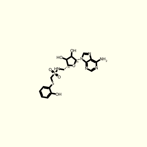 Nc1ncnc2c1ncn2[C@@H]1O[C@H](CNS(=O)(=O)CSc2ccccc2O)C(O)C1O